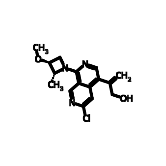 C=C(CO)c1cnc(N2C[C@H](OC)[C@H]2C)c2cnc(Cl)cc12